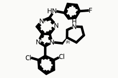 Fc1ccc(Nc2ncc3nc(-c4c(Cl)cccc4Cl)n(C[C@@H]4CCCNC4)c3n2)cc1